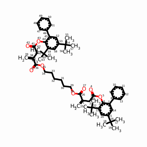 C=C(CC(=O)Oc1c(-c2ccccc2)cc(C(C)(C)C)cc1C(C)(C)C)C(=O)OCCCCCCOC(=O)C(=C)CC(=O)Oc1c(-c2ccccc2)cc(C(C)(C)C)cc1C(C)(C)C